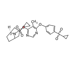 Cc1c(Oc2ccc(S(=O)(=O)C3CC3)cc2)ncnc1OC1CC2CC[C@@H](C1)N2S(=O)(=O)C1CC1